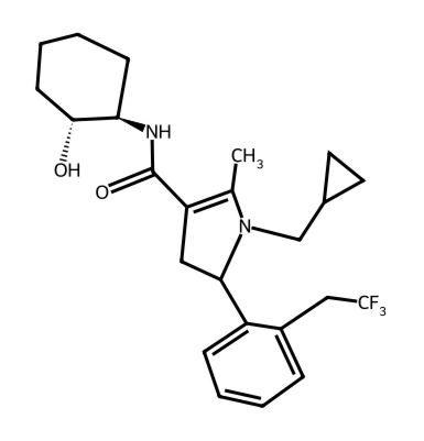 CC1=C(C(=O)N[C@@H]2CCCC[C@H]2O)CC(c2ccccc2CC(F)(F)F)N1CC1CC1